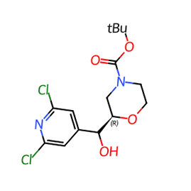 CC(C)(C)OC(=O)N1CCO[C@@H](C(O)c2cc(Cl)nc(Cl)c2)C1